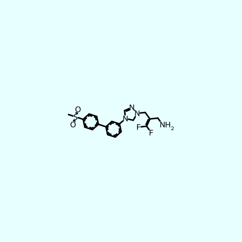 CS(=O)(=O)c1ccc(-c2cccc(N3C=NN(CC(CN)=C(F)F)C3)c2)cc1